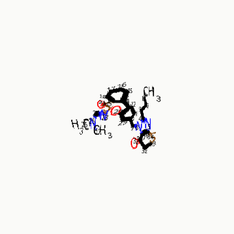 CCCCc1nc2c(n1Cc1ccc(-c3ccccc3S(=O)(=O)N=CN(C)C)cc1)C(=O)CCS2